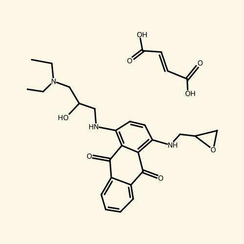 CCN(CC)CC(O)CNc1ccc(NCC2CO2)c2c1C(=O)c1ccccc1C2=O.O=C(O)/C=C/C(=O)O